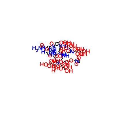 CC(C)[C@H](NC(=O)[C@H](CCCCN(C[C@H](O)[C@@H](O)[C@H](O)[C@H](O)CO)C[C@H](O)[C@@H](O)[C@H](O)[C@H](O)CO)NC(=O)[C@H](CCCCN)NC(=O)[C@H](CCCCN(C[C@H](O)[C@@H](O)[C@H](O)[C@H](O)CO)C[C@H](O)[C@@H](O)[C@H](O)[C@H](O)CO)NC(=O)CCOCCOCCOCCN1C(=O)C=CC1=O)C(=O)N[C@@H](CCCNC(N)=O)C(=O)Nc1ccc(CO)cc1